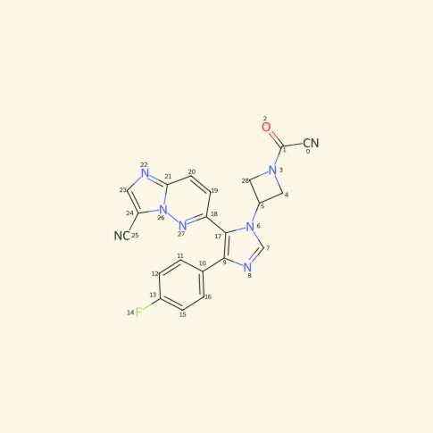 N#CC(=O)N1CC(n2cnc(-c3ccc(F)cc3)c2-c2ccc3ncc(C#N)n3n2)C1